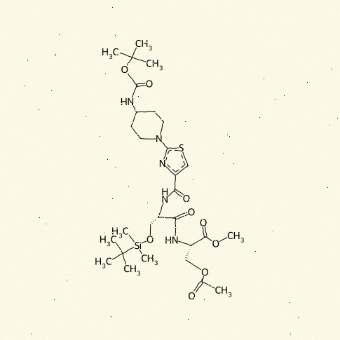 COC(=O)[C@H](COC(C)=O)NC(=O)[C@H](CO[Si](C)(C)C(C)(C)C)NC(=O)c1csc(N2CCC(NC(=O)OC(C)(C)C)CC2)n1